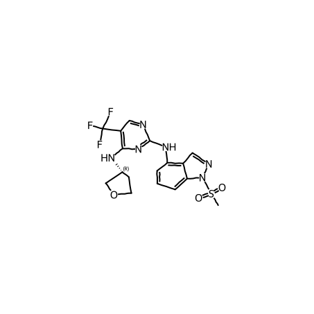 CS(=O)(=O)n1ncc2c(Nc3ncc(C(F)(F)F)c(N[C@@H]4CCOC4)n3)cccc21